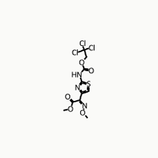 CON=C(C(=O)OC)c1csc(NC(=O)OCC(Cl)(Cl)Cl)n1